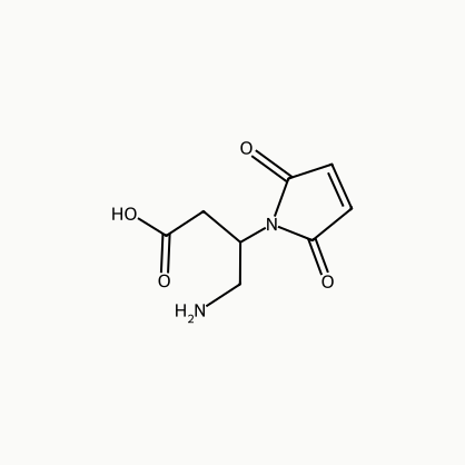 NCC(CC(=O)O)N1C(=O)C=CC1=O